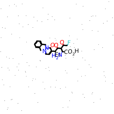 CCC(C(=O)C(C(=O)CF)C(N)C(=O)O)c1ccnn(Cc2ccccc2C)c1=O